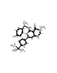 C[C@H](Nc1nc(-c2ccc(C(C)(C)O)nc2)cc2ncn(C)c(=O)c12)c1ccc(F)cc1